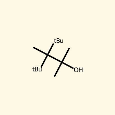 CC(C)(C)C(C)(C(C)(C)C)C(C)(C)O